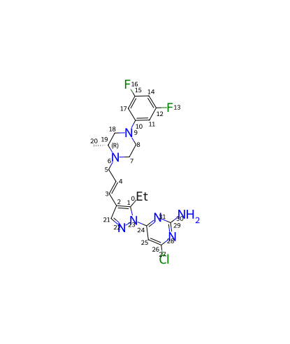 CCc1c(C=CCN2CCN(c3cc(F)cc(F)c3)C[C@H]2C)cnn1-c1cc(Cl)nc(N)n1